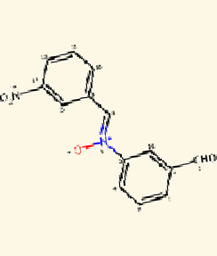 O=Cc1cccc([N+]([O-])=Cc2cccc([N+](=O)[O-])c2)c1